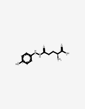 N[C@@H](CCC(=O)NNc1ccc(O)cc1)C(=O)O